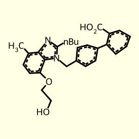 CCCCc1nc2c(C)ccc(OCCO)c2n1Cc1ccc(-c2ccccc2C(=O)O)cc1